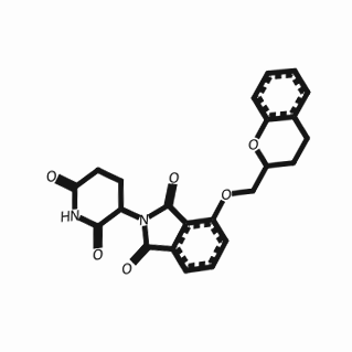 O=C1CCC(N2C(=O)c3cccc(OCC4CCc5ccccc5O4)c3C2=O)C(=O)N1